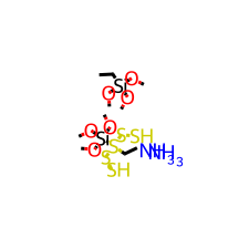 CCS(SS)(SS)[Si](OC)(OC)OC.CC[Si](OC)(OC)OC.N.N